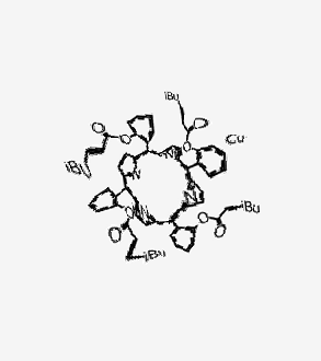 CCC(C)C=CC(=O)Oc1ccccc1-c1c2nc(c(-c3ccccc3OC(=O)C=CC(C)CC)c3ccc([nH]3)c(-c3ccccc3OC(=O)C=CC(C)CC)c3nc(c(-c4ccccc4OC(=O)C=CC(C)CC)c4ccc1[nH]4)C=C3)C=C2.[Cu]